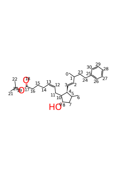 CC(/C=C/[C@H]1C(C)C[C@H](O)C1C/C=C\CCCC(=O)OC(C)C)CCc1ccccc1